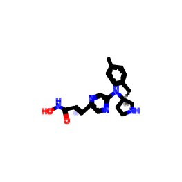 Cc1ccc(C[C@@]2(Nc3cnc(/C=C/C(=O)NO)cn3)CCNC2)cc1